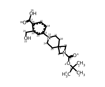 CC(C)(C)OC(=O)N1CC2(CCN(c3ccc(C(=O)O)c(CO)c3)CC2)C1